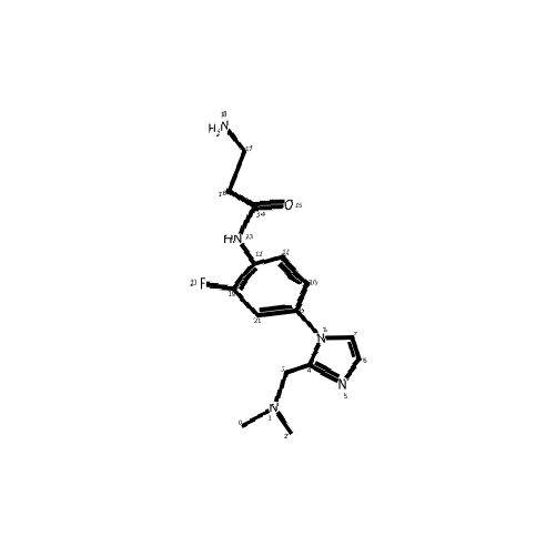 CN(C)Cc1nccn1-c1ccc(NC(=O)CCN)c(F)c1